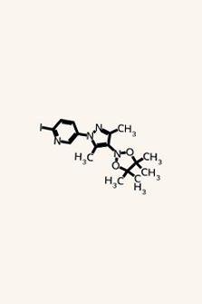 Cc1nn(-c2ccc(I)nc2)c(C)c1N1OC(C)(C)C(C)(C)O1